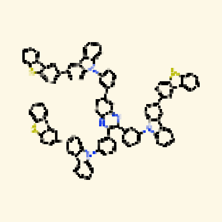 c1cc(-c2ccc3nc(-c4cccc(-n5c6ccccc6c6cc(-c7ccc8sc9ccccc9c8c7)ccc65)c4)c(-c4cccc(-n5c6ccccc6c6cc(-c7ccc8sc9ccccc9c8c7)ccc65)c4)nc3c2)cc(-n2c3ccccc3c3cc(-c4ccc5sc6ccccc6c5c4)ccc32)c1